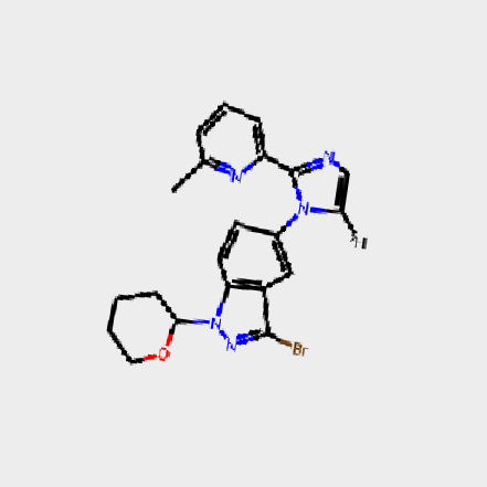 [2H]c1cnc(-c2cccc(C)n2)n1-c1ccc2c(c1)c(Br)nn2C1CCCCO1